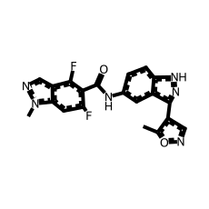 Cc1oncc1-c1n[nH]c2ccc(NC(=O)c3c(F)cc4c(cnn4C)c3F)cc12